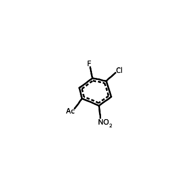 CC(=O)c1cc(F)c(Cl)cc1[N+](=O)[O-]